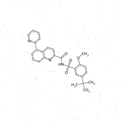 COc1ccc(C(C)(C)C)cc1S(=O)(=O)NC(=O)c1ccc2c(-c3ccccn3)cccc2n1